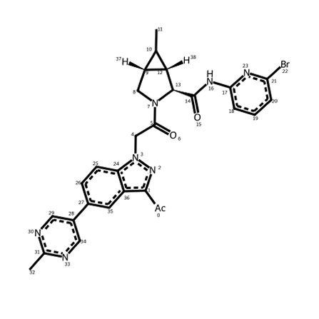 CC(=O)c1nn(CC(=O)N2C[C@@H]3C(C)[C@@H]3[C@H]2C(=O)Nc2cccc(Br)n2)c2ccc(-c3cnc(C)nc3)cc12